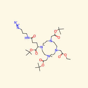 CCOC(=O)CN1CCN(CC(=O)OC(C)(C)C)CCN(C(CCC(=O)NCCCN=[N+]=[N-])C(=O)OC(C)(C)C)CCN(CC(=O)OC(C)(C)C)CC1